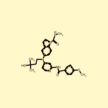 CNC(=O)n1ccc2cc(N(CCC(C)(C)O)c3ccnc(NC(=O)c4ccc(OC)cc4)c3)ccc21